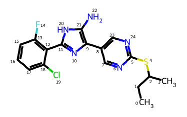 CCC(C)Sc1ncc(-c2nc(-c3c(F)cccc3Cl)[nH]c2N)cn1